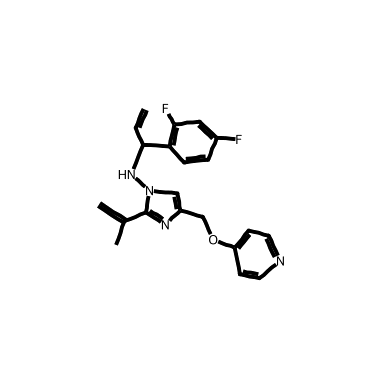 C=CC(Nn1cc(COc2ccncc2)nc1C(=C)C)c1ccc(F)cc1F